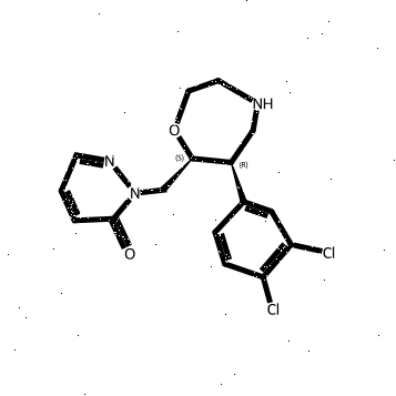 O=c1cccnn1C[C@H]1OCCNC[C@H]1c1ccc(Cl)c(Cl)c1